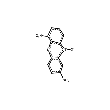 O=[N+]([O-])c1ccc2nc3c([N+](=O)[O-])cccc3[n+]([O-])c2c1